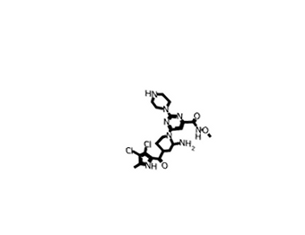 CONC(=O)c1cc(N2CCC(C(=O)c3[nH]c(C)c(Cl)c3Cl)CC2N)nc(N2CCNCC2)n1